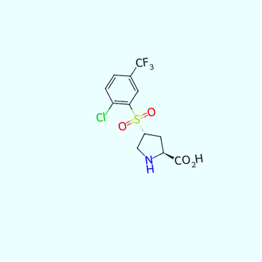 O=C(O)[C@@H]1C[C@@H](S(=O)(=O)c2cc(C(F)(F)F)ccc2Cl)CN1